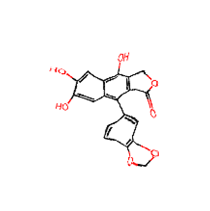 O=C1OCc2c1c(-c1ccc3c(c1)OCO3)c1cc(O)c(O)cc1c2O